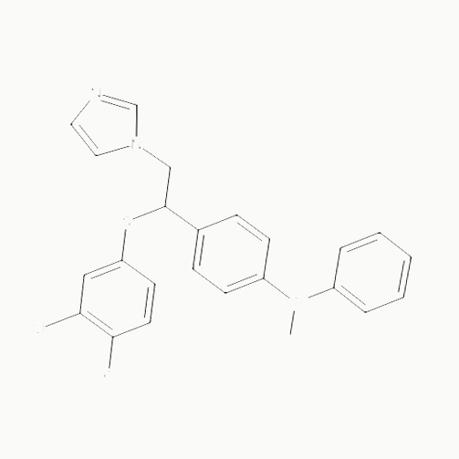 [O-][S+](c1ccccc1)c1ccc(C(Cn2ccnc2)Sc2ccc(Cl)c(Cl)c2)cc1